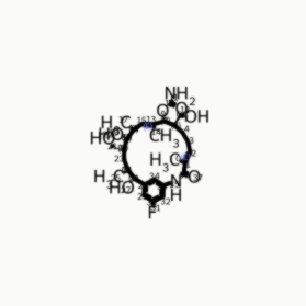 C/C1=C\CC[C@H](CO)[C@@H](OC(N)=O)/C(C)=C/[C@H](C)[C@@H](O)[C@@H](CO)C[C@H](C)[C@@H](O)c2cc(F)cc(c2)NC1=O